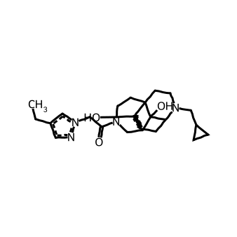 CCc1cnn(CC(=O)N2CCC34CCN(CC5CC5)C(Cc5ccc(O)cc53)C4(O)CC2)c1